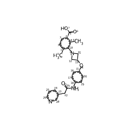 Cc1ccc(C(=O)O)c(C)c1N1CC(Oc2ccc(NC(=O)Cc3cccnc3)cc2)C1